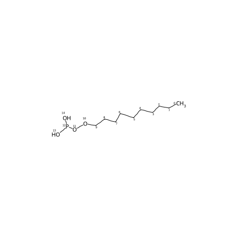 CCCCCCCCCCOOP(O)O